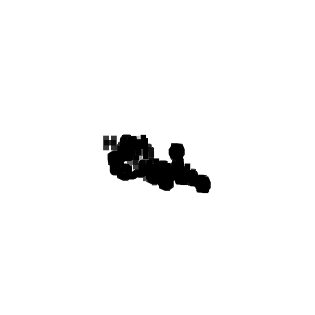 Cc1c(OC2CCC(CCCC(C)N3CCN(c4cccc5c(-c6ccc(OCc7ccccc7)nc6OCc6ccccc6)nn(C)c45)CC3)CC2)cccc1B1OC(C)(C)C(C)(C)O1